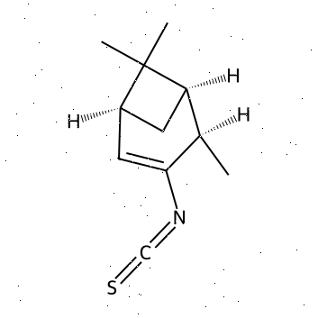 C[C@H]1C(N=C=S)=C[C@@H]2C[C@H]1C2(C)C